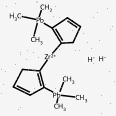 [CH3][Pb]([CH3])([CH3])[C]1=[C]([Zr+2][C]2=[C]([Pb]([CH3])([CH3])[CH3])C=CC2)CC=C1.[H-].[H-]